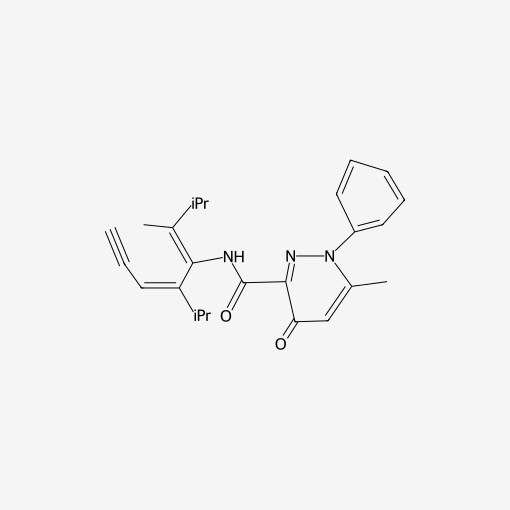 C#C/C=C(\C(NC(=O)c1nn(-c2ccccc2)c(C)cc1=O)=C(/C)C(C)C)C(C)C